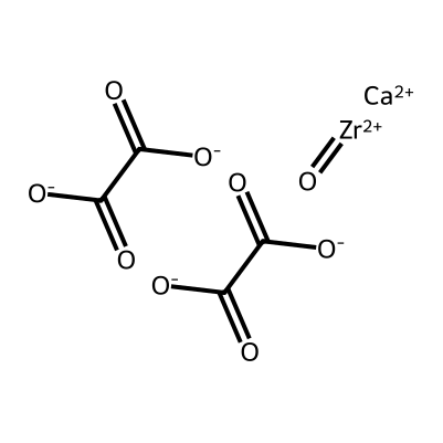 O=C([O-])C(=O)[O-].O=C([O-])C(=O)[O-].[Ca+2].[O]=[Zr+2]